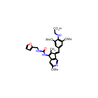 COc1cc2c(cn1)C(=Cc1cc(OC)c(NCC(=O)O)c(OC)c1)C(C)=C2NC(=O)NCc1ccco1